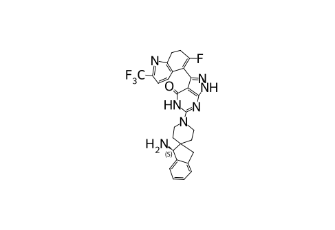 N[C@@H]1c2ccccc2CC12CCN(c1nc3[nH]nc(C4=C(F)CCc5nc(C(F)(F)F)ccc54)c3c(=O)[nH]1)CC2